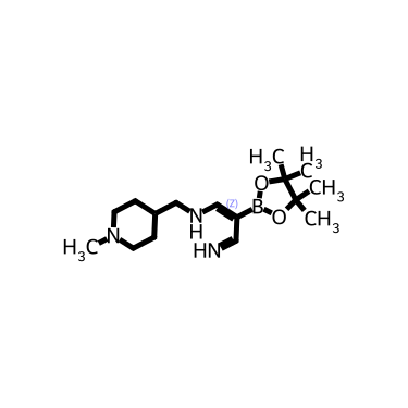 CN1CCC(CN/C=C(\C=N)B2OC(C)(C)C(C)(C)O2)CC1